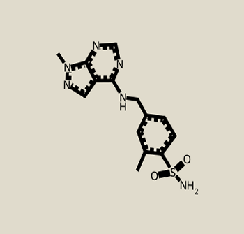 Cc1cc(CNc2ncnc3c2cnn3C)ccc1S(N)(=O)=O